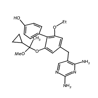 CCOc1cc(Cc2cnc(N)nc2N)cc(OC(C)(OC)C2CC2)c1-c1ccc(O)cc1